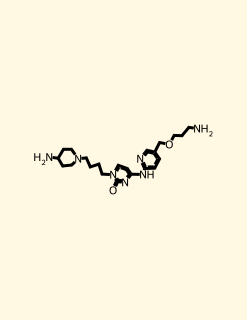 NCCCOCc1ccc(Nc2ccn(CCCCN3CCC(N)CC3)c(=O)n2)nc1